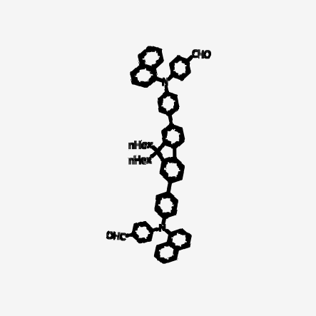 CCCCCCC1(CCCCCC)c2cc(-c3ccc(N(c4ccc(C=O)cc4)c4cccc5ccccc45)cc3)ccc2-c2ccc(-c3ccc(N(c4ccc(C=O)cc4)c4cccc5ccccc45)cc3)cc21